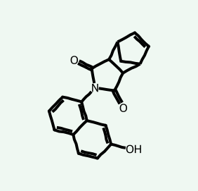 O=C1C2C3C=CC(C3)C2C(=O)N1c1cccc2ccc(O)cc12